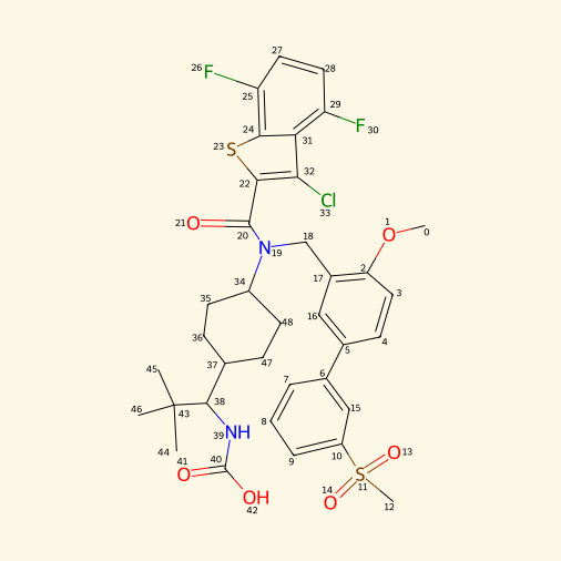 COc1ccc(-c2cccc(S(C)(=O)=O)c2)cc1CN(C(=O)c1sc2c(F)ccc(F)c2c1Cl)C1CCC(C(NC(=O)O)C(C)(C)C)CC1